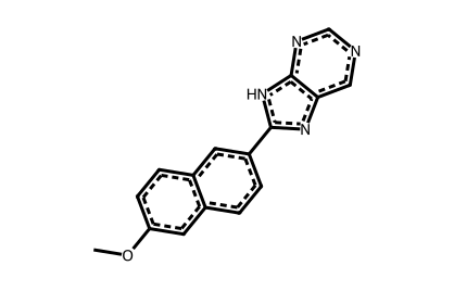 COc1ccc2cc(-c3nc4cncnc4[nH]3)ccc2c1